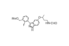 COCc1cccc(-c2n[nH]c3ccc(OC(C)CCNC=O)cc23)c1F